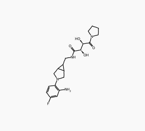 Nc1cc(F)ccc1N1CC2C(CNC(=O)[C@H](O)[C@@H](O)C(=O)N3CCCC3)C2C1